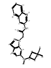 CN(c1cnc2cnn(CC(=O)Nc3cnc4cccnc4c3)c2n1)C1CC(C)(C)C1